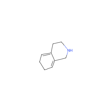 C1=C2CCNCC2=CCC1